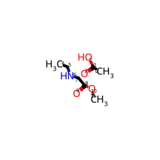 CC(=O)O.CCNCC(=O)OC